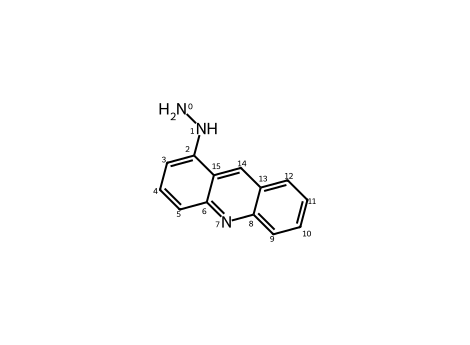 NNc1cccc2nc3ccccc3cc12